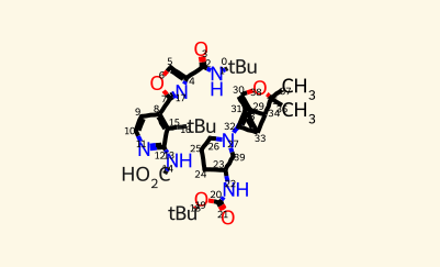 CC(C)(C)NC(=O)c1coc(-c2ccnc(NC(=O)O)c2C(C)(C)C)n1.CC(C)(C)OC(=O)NC1CCCN(c2cc3c4cc2C4C(C)(C)O3)C1